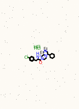 CCN(CC)CC(C1CCCCC1)N1CCN(C(=O)C(N)Cc2ccc(Cl)cc2)CC1.Cl.Cl